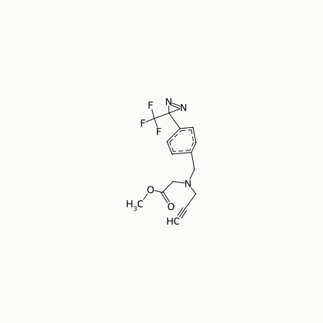 C#CCN(CC(=O)OC)Cc1ccc(C2(C(F)(F)F)N=N2)cc1